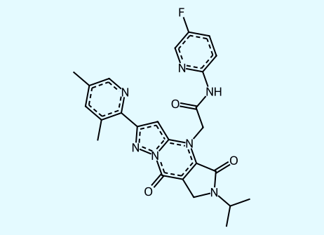 Cc1cnc(-c2cc3n(CC(=O)Nc4ccc(F)cn4)c4c(c(=O)n3n2)CN(C(C)C)C4=O)c(C)c1